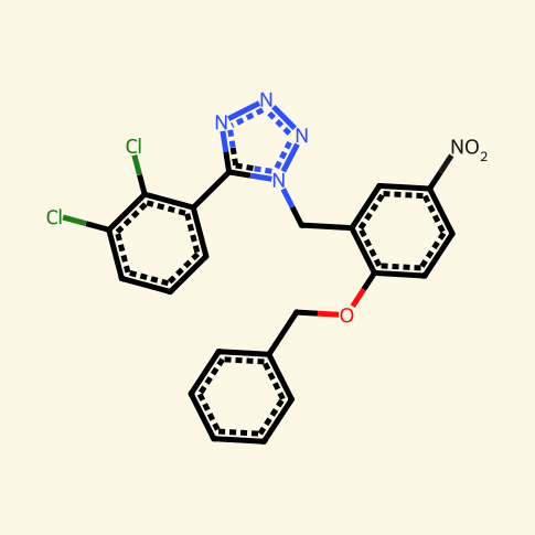 O=[N+]([O-])c1ccc(OCc2ccccc2)c(Cn2nnnc2-c2cccc(Cl)c2Cl)c1